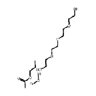 CCCOC(C)=O.CCOCC.OCCOCCOCCOCCO